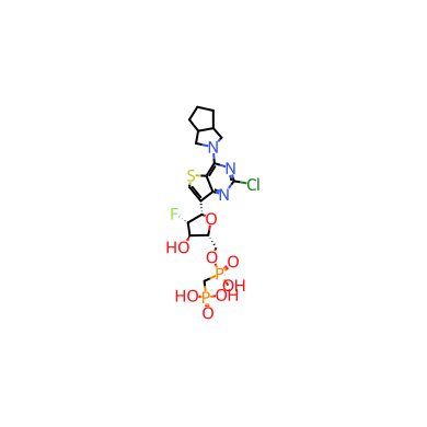 O=P(O)(O)CP(=O)(O)OC[C@H]1O[C@@H](c2csc3c(N4CC5CCCC5C4)nc(Cl)nc23)[C@@H](F)[C@@H]1O